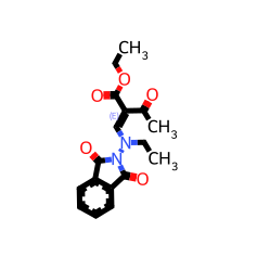 CCOC(=O)/C(=C/N(CC)N1C(=O)c2ccccc2C1=O)C(C)=O